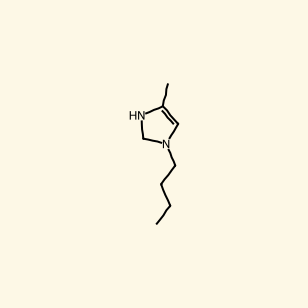 CCCCN1C=C(C)NC1